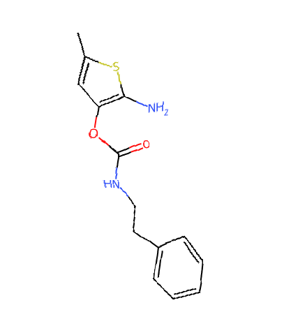 Cc1cc(OC(=O)NCCc2ccccc2)c(N)s1